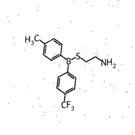 Cc1ccc(B(SCCN)c2ccc(C(F)(F)F)cc2)cc1